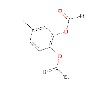 CCC(=O)Oc1ccc(I)cc1OC(=O)CC